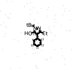 CCc1nn(C(C)(C)C)c(O)c1-c1ccccc1